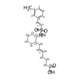 Cc1cccc(/C=C/S(=O)(=O)NC2CCCCC2C/C=C/CCCC(=O)O)c1